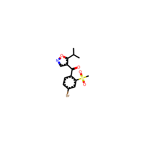 CC(C)c1oncc1C(=O)c1ccc(Br)cc1S(C)(=O)=O